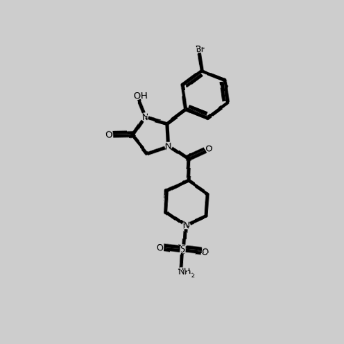 NS(=O)(=O)N1CCC(C(=O)N2CC(=O)N(O)C2c2cccc(Br)c2)CC1